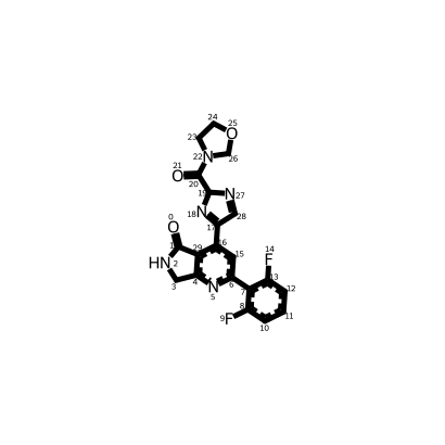 O=C1NCc2nc(-c3c(F)cccc3F)cc(C3=NC(C(=O)N4CCOC4)N=C3)c21